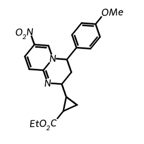 CCOC(=O)C1CC1C1CC(c2ccc(OC)cc2)N2C=C([N+](=O)[O-])C=CC2=N1